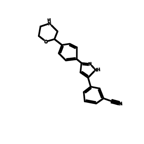 N#Cc1cccc(-c2cc(-c3ccc(C4CNCCO4)cc3)n[nH]2)c1